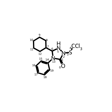 O=C1N(SC(Cl)(Cl)Cl)NC(C2CCCCC2)N1c1ccccc1